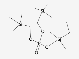 CC[Si](C)(C)OP(=O)(OC[Si](C)(C)C)OC[Si](C)(C)C